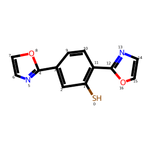 Sc1cc(-c2ncco2)ccc1-c1ncco1